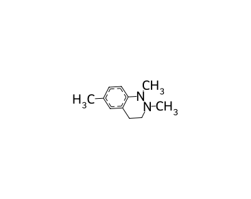 Cc1ccc2c(c1)CCN(C)N2C